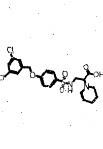 O=C(O)C(CNS(=O)(=O)c1ccc(OCc2cc(Cl)cc(Cl)c2)cc1)N1CCCCC1